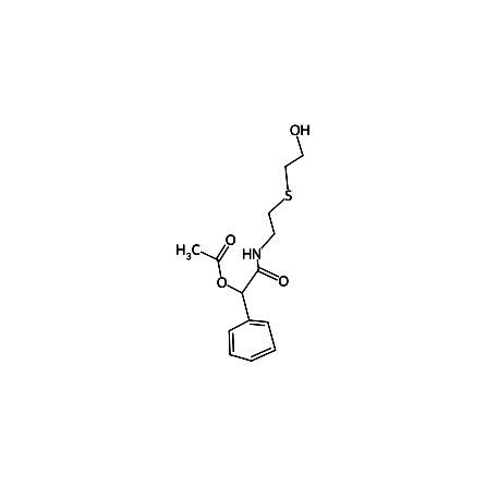 CC(=O)OC(C(=O)NCCSCCO)c1ccccc1